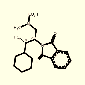 CN(C[C@H]([C@@H](O)C1CCCCC1)N1C(=O)c2ccccc2C1=O)C(=O)O